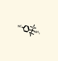 C[Si](C)(C)C(N)(c1ccc(C#N)cc1)[Si](C)(C)C